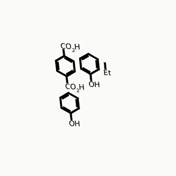 CCC.O=C(O)c1ccc(C(=O)O)cc1.Oc1ccccc1.Oc1ccccc1